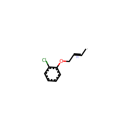 [CH2]/C=C/COc1ccccc1Cl